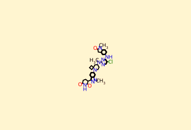 CN1C(=O)Cc2cc(Nc3nc(N(C)C4CCN(c5ccc6c(C7CCC(=O)NC7=O)nn(C)c6c5)C5(CCC5)C4)ncc3Cl)ccc21